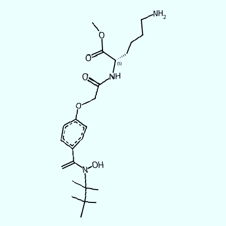 C=C(c1ccc(OCC(=O)N[C@@H](CCCCN)C(=O)OC)cc1)N(O)C(C)(C)C(C)(C)C